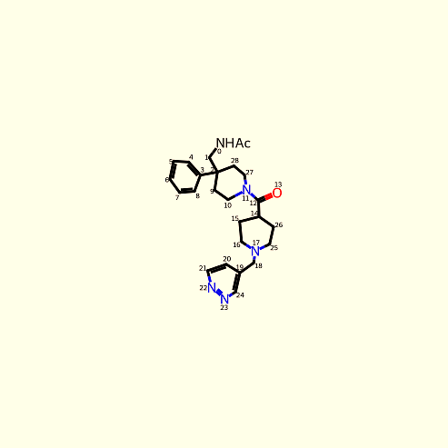 CC(=O)NCC1(c2ccccc2)CCN(C(=O)C2CCN(Cc3ccnnc3)CC2)CC1